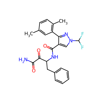 Cc1ccc(C)c(-c2nn(C(F)F)cc2C(=O)NC(Cc2ccccc2)C(=O)C(N)=O)c1